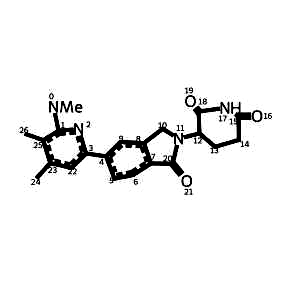 CNc1nc(-c2ccc3c(c2)CN(C2CCC(=O)NC2=O)C3=O)cc(C)c1C